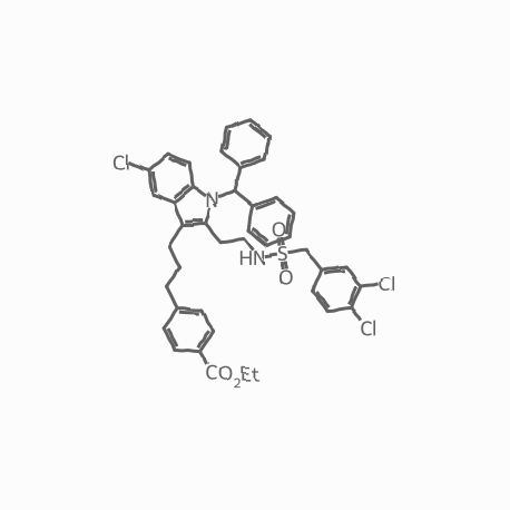 CCOC(=O)c1ccc(CCCc2c(CCNS(=O)(=O)Cc3ccc(Cl)c(Cl)c3)n(C(c3ccccc3)c3ccccc3)c3ccc(Cl)cc23)cc1